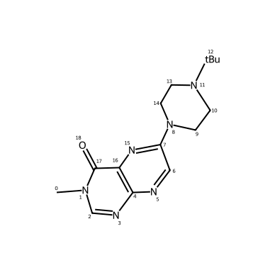 Cn1cnc2ncc(N3CCN(C(C)(C)C)CC3)nc2c1=O